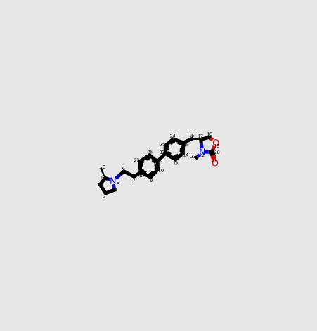 C[C@@H]1CCCN1CCc1ccc(-c2ccc(C[C@H]3COC(=O)N3C)cc2)cc1